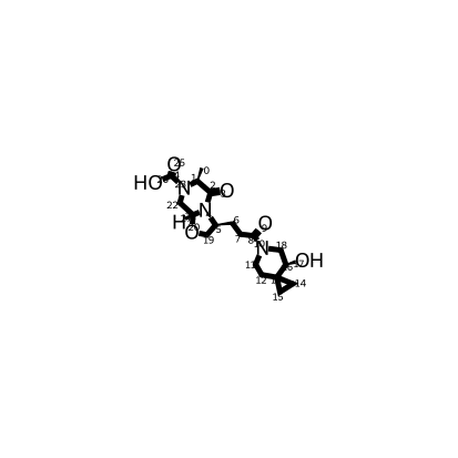 C[C@H]1C(=O)N2[C@@H](CCC(=O)N3CCC4(CC4)[C@H](O)C3)CO[C@@H]2CN1C(=O)O